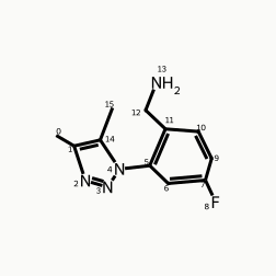 Cc1nnn(-c2cc(F)ccc2CN)c1C